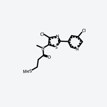 CSCCC(=O)N(C)c1sc(-c2cncc(Cl)c2)nc1Cl